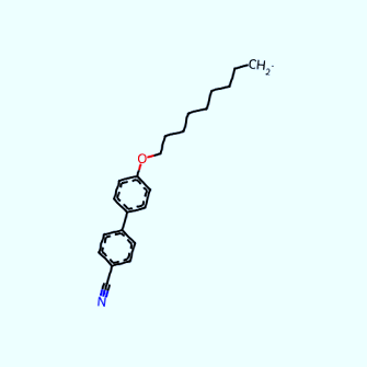 [CH2]CCCCCCCCOc1ccc(-c2ccc(C#N)cc2)cc1